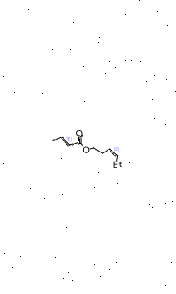 C/C=C/C(=O)OCC/C=C\CC